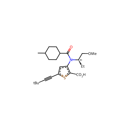 CC[C@H](COC)N(C(=O)C1CCC(C)CC1)c1cc(C#CC(C)(C)C)sc1C(=O)O